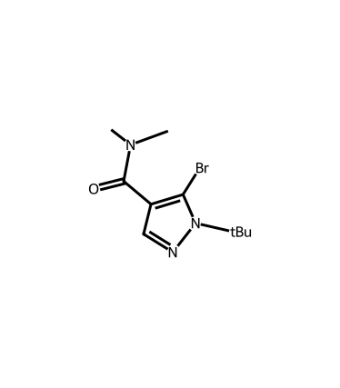 CN(C)C(=O)c1cnn(C(C)(C)C)c1Br